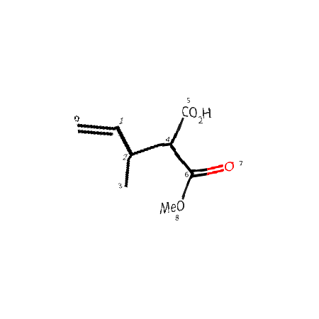 C=CC(C)C(C(=O)O)C(=O)OC